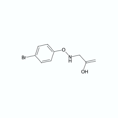 C=C(O)CNOc1ccc(Br)cc1